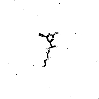 C#Cc1cc(N)cc(C(=O)NCCOCCC)c1